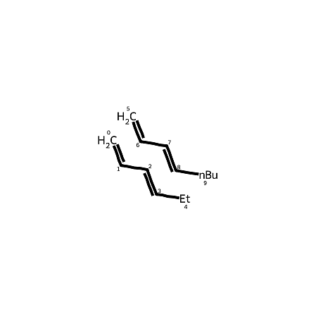 C=C/C=C/CC.C=C/C=C/CCCC